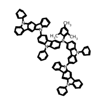 Cc1cc(C)c(B(c2ccc3c(c2)c2cc(-n4c5ccccc5c5cc6c(cc54)c4ccccc4n6-c4ccccc4)ccc2n3-c2ccccc2)c2ccc3c(c2)c2cc(-n4c5ccccc5c5cc6c(cc54)c4ccccc4n6-c4ccccc4)ccc2n3-c2ccccc2)c(C)c1